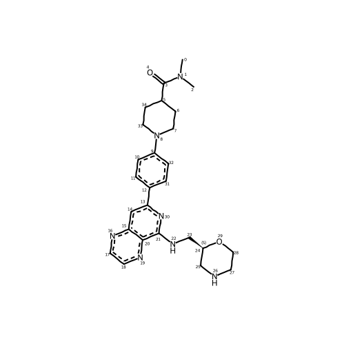 CN(C)C(=O)C1CCN(c2ccc(-c3cc4nccnc4c(NC[C@@H]4CNCCO4)n3)cc2)CC1